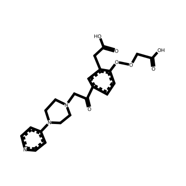 O=C(O)COOc1ccc(C(=O)CN2CCN(c3ccncc3)CC2)cc1CC(=O)O